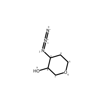 [N-]=[N+]=NC1CCOCC1O